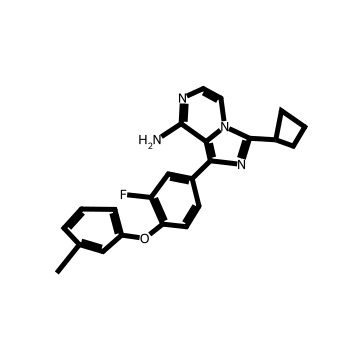 Cc1cccc(Oc2ccc(-c3nc(C4CCC4)n4ccnc(N)c34)cc2F)c1